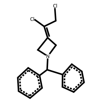 ClCC(Cl)=C1CN(C(c2ccccc2)c2ccccc2)C1